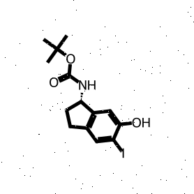 CC(C)(C)OC(=O)N[C@H]1CCc2cc(I)c(O)cc21